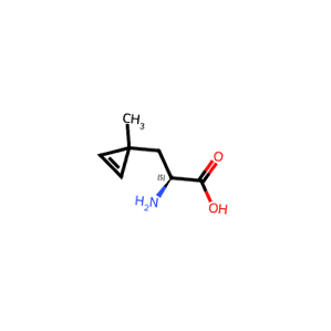 CC1(C[C@H](N)C(=O)O)C=C1